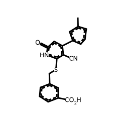 Cc1cccc(-c2cc(=O)[nH]c(SCc3cccc(C(=O)O)c3)c2C#N)c1